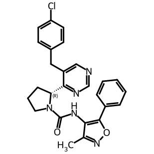 Cc1noc(-c2ccccc2)c1NC(=O)N1CCC[C@@H]1c1ncncc1Cc1ccc(Cl)cc1